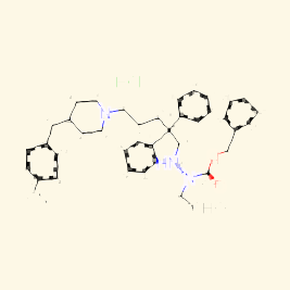 Cl.N#Cc1ccc(CC2CCN(CCCC(CNN(CC=O)C(=O)OCc3ccccc3)(c3ccccc3)c3ccccc3)CC2)cc1